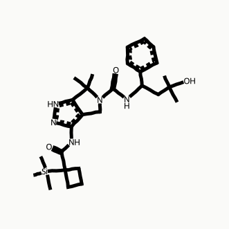 CC(C)(O)CC(NC(=O)N1Cc2c(NC(=O)C3([Si](C)(C)C)CCC3)n[nH]c2C1(C)C)c1ccccc1